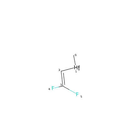 [CH3][Hf][CH]=C(F)F